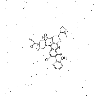 C=CC(=O)N1C[C@@H]2C(=O)N3C[C@H]([C@@H]4CCCN4C)Oc4nc5c(F)c(-c6c(C)cccc6O)c(Cl)cc5c(c43)N2C[C@H]1C